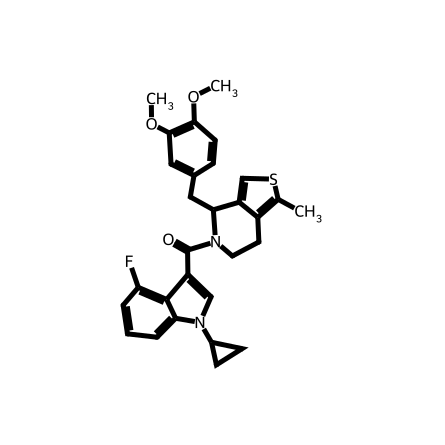 COc1ccc(CC2c3csc(C)c3CCN2C(=O)c2cn(C3CC3)c3cccc(F)c23)cc1OC